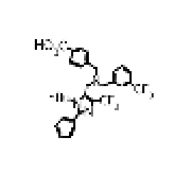 CCCCn1c(-c2ccccc2)nc(C(F)(F)F)c1CN(Cc1ccc(C(=O)O)cc1)Cc1cccc(C(F)(F)F)c1